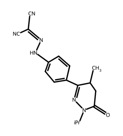 CC1CC(=O)N(C(C)C)N=C1c1ccc(NN=C(C#N)C#N)cc1